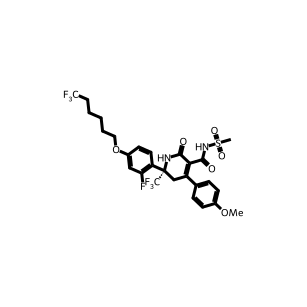 COc1ccc(C2=C(C(=O)NS(C)(=O)=O)C(=O)N[C@@](c3ccc(OCCCCCC(F)(F)F)cc3F)(C(F)(F)F)C2)cc1